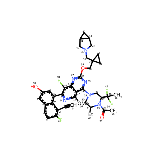 C#Cc1c(F)ccc2cc(O)cc(-c3nc(OC)c4c(N5CC(CC)N(C(=O)C(F)(F)F)C(C(C)(F)F)C5)nc(OCC5(CN6CC7CC7C6)CC5)nc4c3F)c12